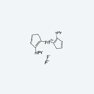 CCCC1=[C]([Hf+2][C]2=C(CCC)C=CC2)CC=C1.[F-].[F-]